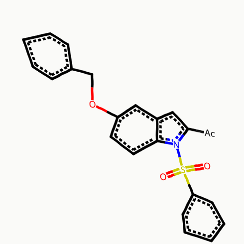 CC(=O)c1cc2cc(OCc3ccccc3)ccc2n1S(=O)(=O)c1ccccc1